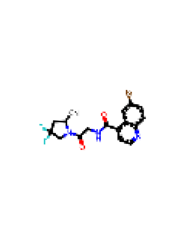 N#CC1CC(F)(F)CN1C(=O)CNC(=O)c1ccnc2ccc(Br)cc12